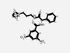 O=C(N[C@H](C(=O)NCCC[Si]12OC(O1)O2)c1ccccc1)c1cc([N+](=O)[O-])cc([N+](=O)[O-])c1